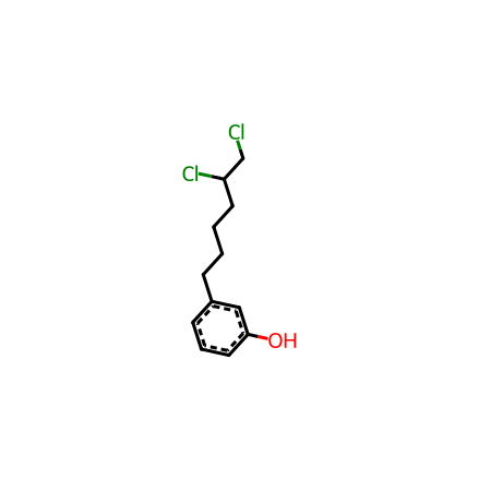 Oc1cccc(CCCCC(Cl)CCl)c1